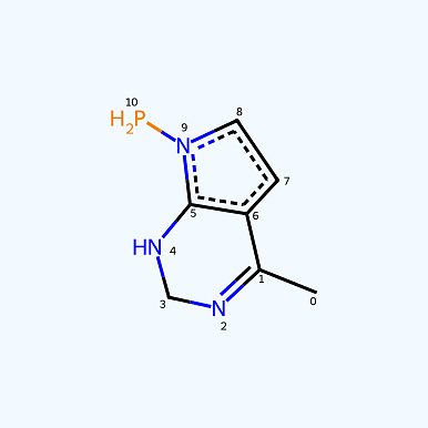 CC1=NCNc2c1ccn2P